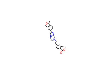 C=C1OCc2cc(-c3cn4c(n3)CN(CCc3ccc5c(c3)CCOC5=O)CC4)ccc21